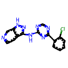 Clc1ccccc1-c1ncnc(Nc2n[nH]c3cnccc23)n1